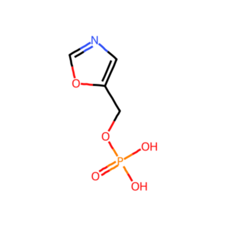 O=P(O)(O)OCc1cnco1